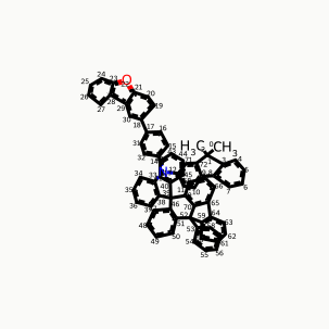 CC1(C)c2ccccc2-c2ccc(N(c3ccc(-c4ccc5oc6ccccc6c5c4)cc3)c3ccccc3C3(c4ccccc4)c4ccccc4C4(c5ccccc5)c5ccccc5-c5cccc3c54)cc21